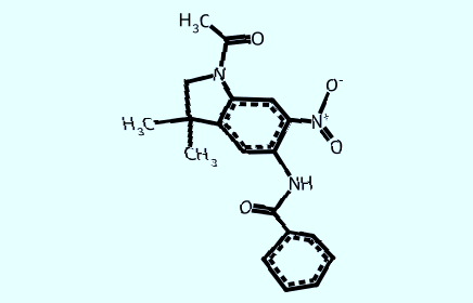 CC(=O)N1CC(C)(C)c2cc(NC(=O)c3ccccc3)c([N+](=O)[O-])cc21